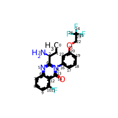 CC[C@H](N)c1nc2cccc(F)c2c(=O)n1-c1cccc(OCC(F)(F)F)c1